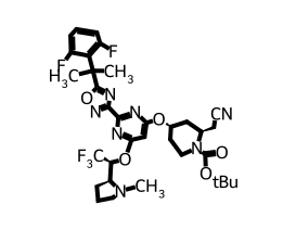 CN1CCC[C@H]1[C@H](Oc1cc(O[C@H]2CCN(C(=O)OC(C)(C)C)[C@H](CC#N)C2)nc(-c2noc(C(C)(C)c3c(F)cccc3F)n2)n1)C(F)(F)F